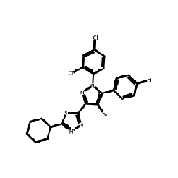 Clc1ccc(-c2c(Br)c(-c3nnc(C4CCCCC4)s3)nn2-c2ccc(Cl)cc2Cl)cc1